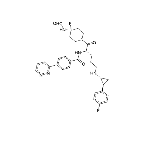 O=CNC1(F)CCN(C(=O)[C@H](CCCN[C@@H]2C[C@H]2c2ccc(F)cc2)NC(=O)c2ccc(-c3cccnn3)cc2)CC1